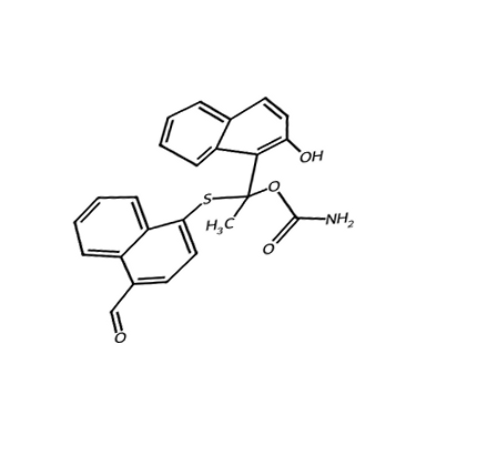 CC(OC(N)=O)(Sc1ccc(C=O)c2ccccc12)c1c(O)ccc2ccccc12